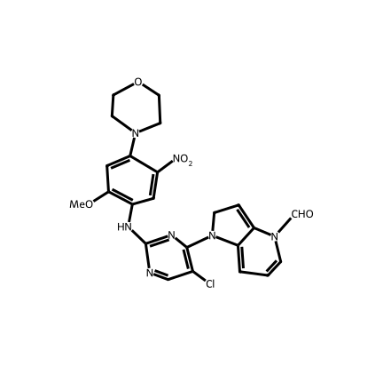 COc1cc(N2CCOCC2)c([N+](=O)[O-])cc1Nc1ncc(Cl)c(N2CC=C3C2=CC=CN3C=O)n1